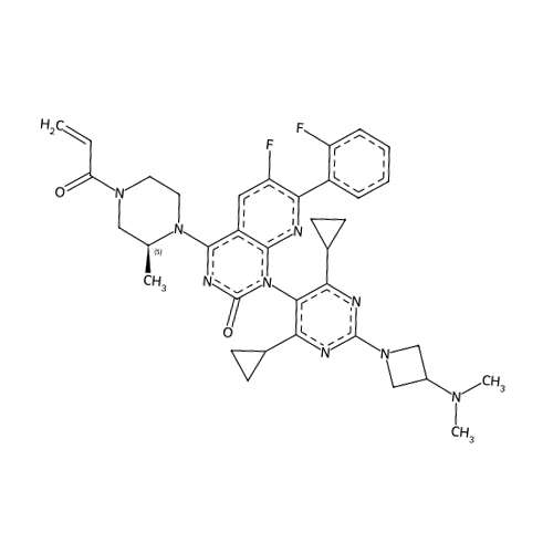 C=CC(=O)N1CCN(c2nc(=O)n(-c3c(C4CC4)nc(N4CC(N(C)C)C4)nc3C3CC3)c3nc(-c4ccccc4F)c(F)cc23)[C@@H](C)C1